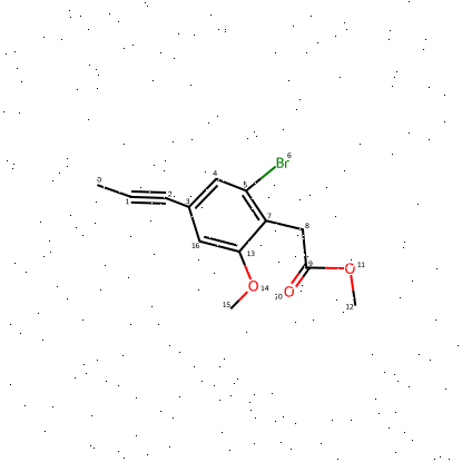 CC#Cc1cc(Br)c(CC(=O)OC)c(OC)c1